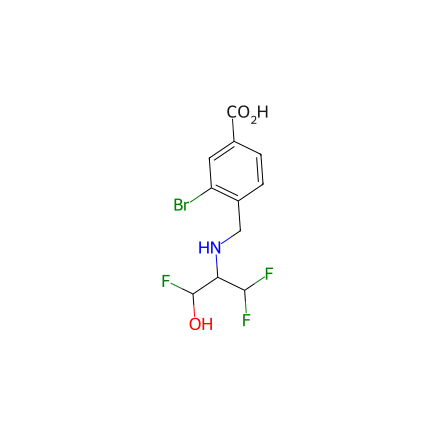 O=C(O)c1ccc(CNC(C(O)F)C(F)F)c(Br)c1